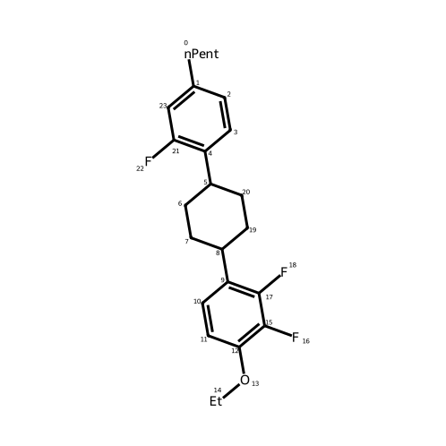 CCCCCc1ccc(C2CCC(c3ccc(OCC)c(F)c3F)CC2)c(F)c1